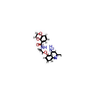 Cc1cc(N)c2c(OCC(C)NC(=O)c3cccc4c3OCCO4)cccc2n1